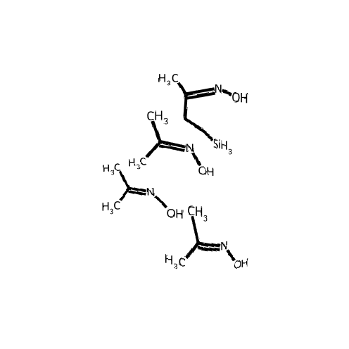 CC(C)=NO.CC(C)=NO.CC(C)=NO.CC(C[SiH3])=NO